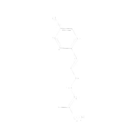 CC(=NOCC=Cc1ccc(Cl)cc1)C(=O)O